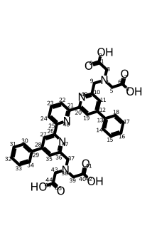 O=C(O)CN(CC(=O)O)Cc1cc(-c2ccccc2)cc(-c2cccc(-c3cc(-c4ccccc4)cc(CN(CC(=O)O)CC(=O)O)n3)n2)n1